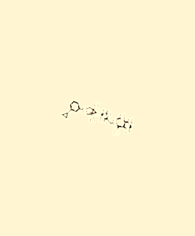 Cn1cnc2ncn(Cc3nc([C@@H]4[C@@H]5CN(c6cccc(C7CC7)c6)C[C@@H]54)no3)c(=O)c21